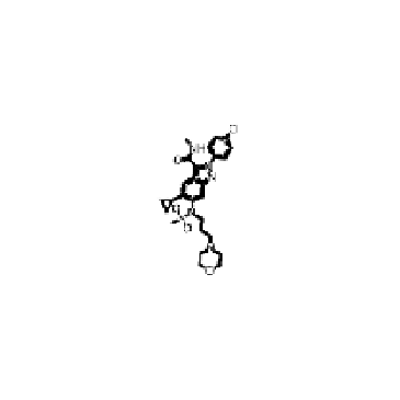 CNC(=O)c1c2cc(C3CC3)c(N(CCCN3CCOCC3)S(C)(=O)=O)cc2nn1-c1ccc(Cl)cc1